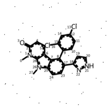 Cn1c(=O)ccc2c3c(-c4ccc(Cl)cc4Cl)c(-c4cc[nH]n4)ccc3n(C)c21